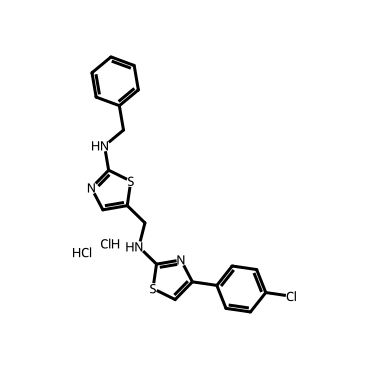 Cl.Cl.Clc1ccc(-c2csc(NCc3cnc(NCc4ccccc4)s3)n2)cc1